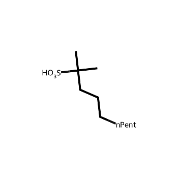 CCCCCCCCC(C)(C)S(=O)(=O)O